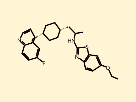 CCOc1ccc2nc(NC(C)C[C@H]3CC[C@@H](c4ccnc5ccc(F)cc54)CC3)sc2c1